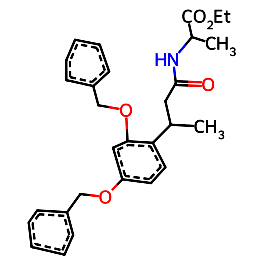 CCOC(=O)C(C)NC(=O)CC(C)c1ccc(OCc2ccccc2)cc1OCc1ccccc1